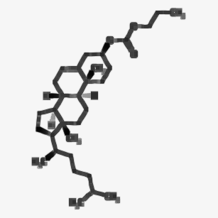 CCCOC(=O)O[C@H]1CC[C@@]2(C)C(=CC[C@H]3[C@@H]4CC[C@H]([C@H](C)CCCC(C)C)[C@@]4(C)CC[C@@H]32)C1